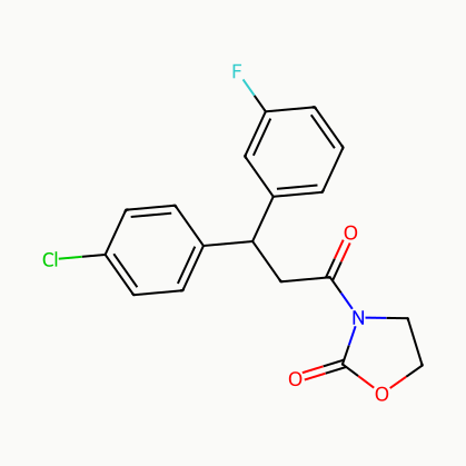 O=C(CC(c1ccc(Cl)cc1)c1cccc(F)c1)N1CCOC1=O